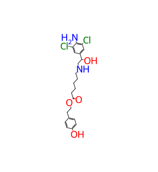 Nc1c(Cl)cc(C(O)CNCCCCCC(=O)OCCc2ccc(O)cc2)cc1Cl